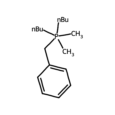 CCCCP(C)(C)(CCCC)Cc1ccccc1